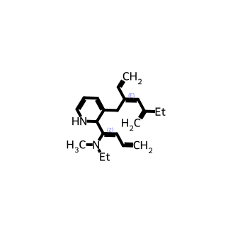 C=C/C=C(/C1NC=CC=C1C/C(C=C)=C\C(=C)CC)N(C)CC